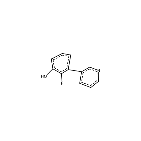 Oc1cccc(-c2cccnc2)c1F